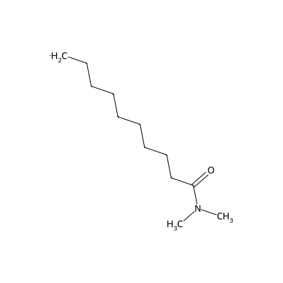 [CH2]CCCCCCCCC(=O)N(C)C